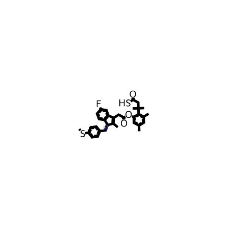 CSc1ccc(/C=C2/C(C)=C(CC(=O)Oc3cc(C)cc(C)c3C(C)(C)CC(=O)S)c3cc(F)ccc32)cc1